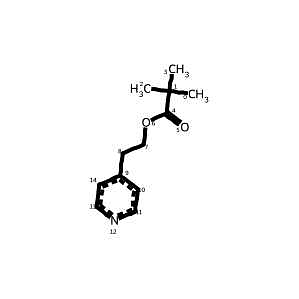 CC(C)(C)C(=O)OCCc1ccncc1